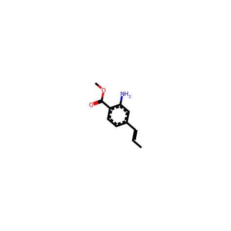 CC=Cc1ccc(C(=O)OC)c(N)c1